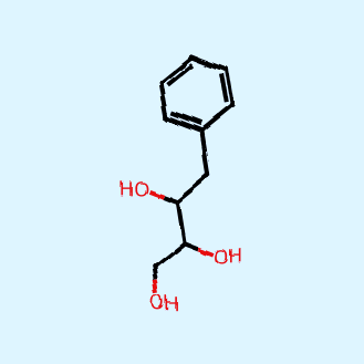 OCC(O)C(O)Cc1ccccc1